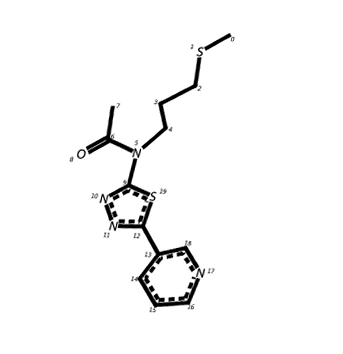 CSCCCN(C(C)=O)c1nnc(-c2cccnc2)s1